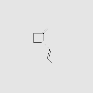 CC=CN1CCC1=O